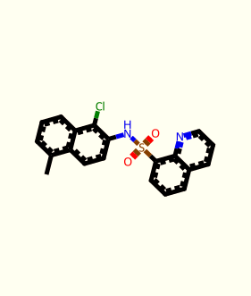 Cc1cccc2c(Cl)c(NS(=O)(=O)c3cccc4cccnc34)ccc12